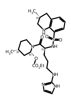 CCOC(=O)O[C@@H]1C[C@H](C)CCN1C(=O)[C@H](CCCNc1ncc[nH]1)NS(=O)(=O)c1cccc2c1NC[C@H](C)C2